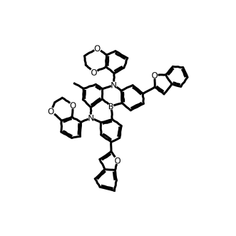 Cc1cc2c3c(c1)N(c1cccc4c1OCCO4)c1cc(-c4cc5ccccc5o4)ccc1B3c1ccc(-c3cc4ccccc4o3)cc1N2c1cccc2c1OCCO2